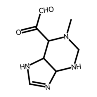 CN1CNC2N=CNC2C1C(=O)C=O